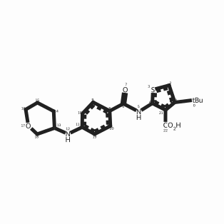 CC(C)(C)c1csc(NC(=O)c2ccc(NC3CCCOC3)cc2)c1C(=O)O